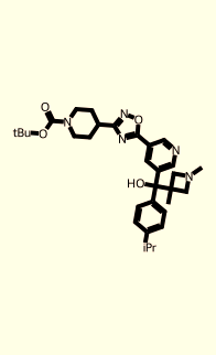 CC(C)c1ccc(C(O)(c2cncc(-c3nc(C4CCN(C(=O)OC(C)(C)C)CC4)no3)c2)C2(C)CN(C)C2)cc1